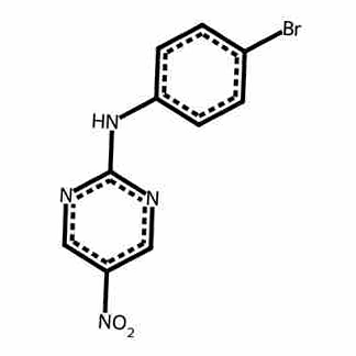 O=[N+]([O-])c1cnc(Nc2ccc(Br)cc2)nc1